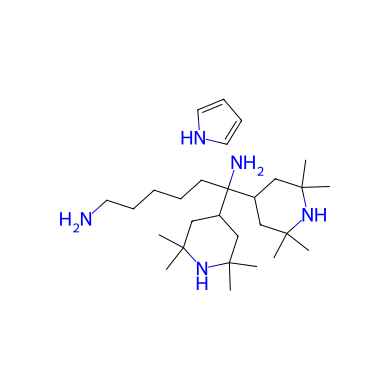 CC1(C)CC(C(N)(CCCCCN)C2CC(C)(C)NC(C)(C)C2)CC(C)(C)N1.c1cc[nH]c1